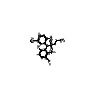 O=S(=O)(CCC(F)(F)F)C(c1cc(Cl)ncc1Cl)c1c(F)ccc(F)c1F